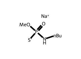 CCCCNP(=O)([S-])OC.[Na+]